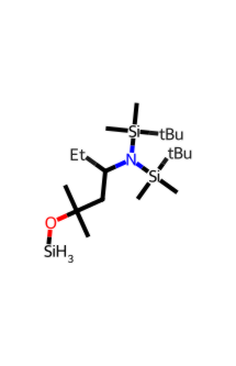 CCC(CC(C)(C)O[SiH3])N([Si](C)(C)C(C)(C)C)[Si](C)(C)C(C)(C)C